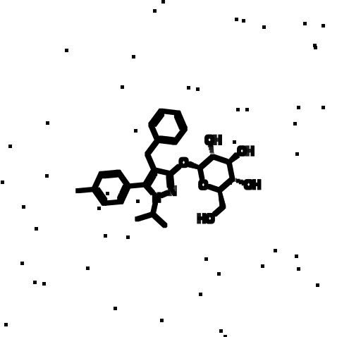 Cc1ccc(-c2c(Cc3ccccc3)c(O[C@@H]3O[C@H](CO)[C@@H](O)[C@H](O)[C@H]3O)nn2C(C)C)cc1